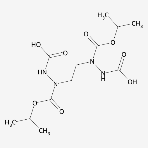 CC(C)OC(=O)N(CCN(NC(=O)O)C(=O)OC(C)C)NC(=O)O